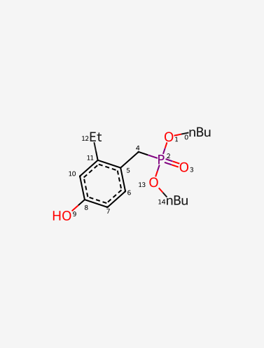 CCCCOP(=O)(Cc1ccc(O)cc1CC)OCCCC